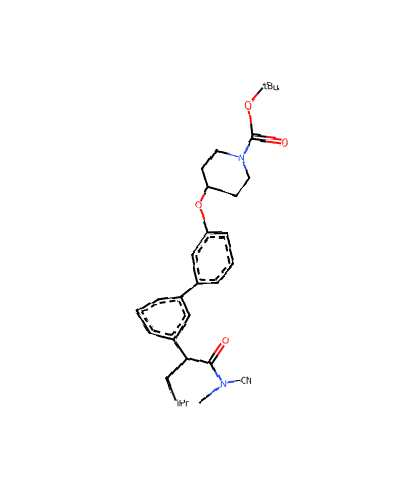 CC(C)CC(C(=O)N(C)C#N)c1cccc(-c2cccc(OC3CCN(C(=O)OC(C)(C)C)CC3)c2)c1